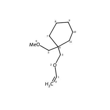 C=COCC1(COC)CCCCC1